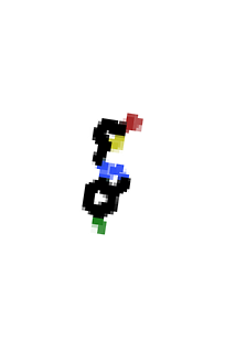 Clc1ccc2c(cnn2Cc2ccc(Br)s2)c1